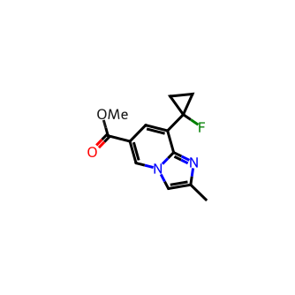 COC(=O)c1cc(C2(F)CC2)c2nc(C)cn2c1